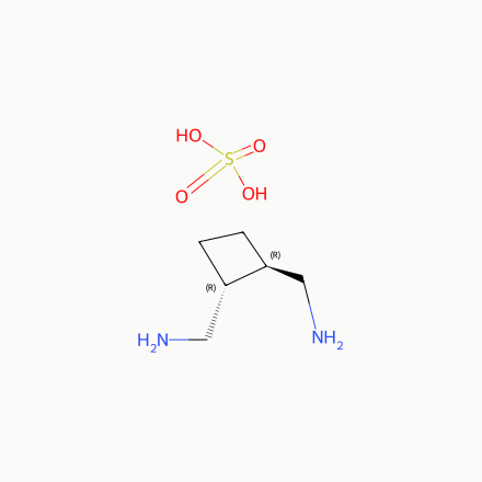 NC[C@@H]1CC[C@H]1CN.O=S(=O)(O)O